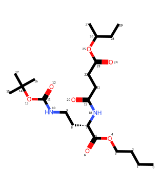 CCCCOC(=O)[C@H](CCNC(=O)OC(C)(C)C)NC(=O)CCC(=O)OC(C)CC